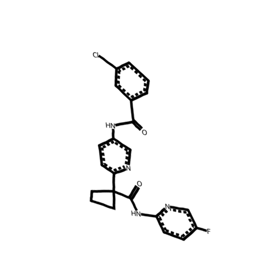 O=C(Nc1ccc(C2(C(=O)Nc3ccc(F)cn3)CCC2)nc1)c1cccc(Cl)c1